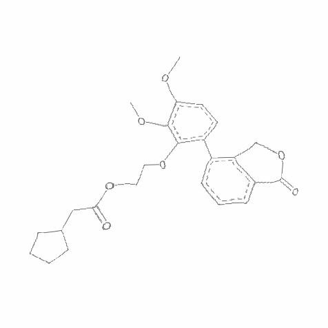 COc1ccc(-c2cccc3c2COC3=O)c(OCCOC(=O)CC2CCCC2)c1OC